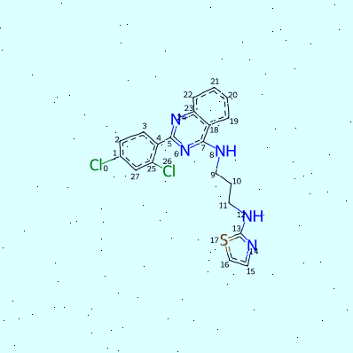 Clc1ccc(-c2nc(NCCCNc3nccs3)c3ccccc3n2)c(Cl)c1